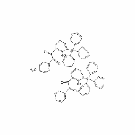 O.O=C(C(=O)c1cccc([Si](c2ccccc2)(c2ccccc2)c2ccccc2)c1[N+](=O)[O-])c1ccccc1.O=C(C(=O)c1cccc([Si](c2ccccc2)(c2ccccc2)c2ccccc2)c1[N+](=O)[O-])c1ccccc1